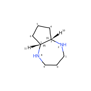 C1CN[C@H]2CCC[C@H]2NC1